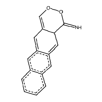 N=C1OOC=C2C=c3cc4ccccc4cc3=CC12